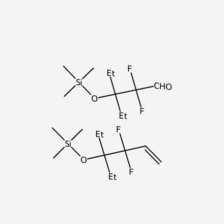 C=CC(F)(F)C(CC)(CC)O[Si](C)(C)C.CCC(CC)(O[Si](C)(C)C)C(F)(F)C=O